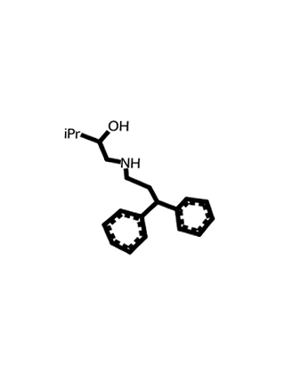 CC(C)C(O)CNCCC(c1ccccc1)c1ccccc1